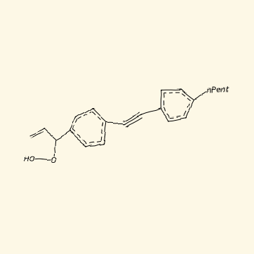 C=CC(OO)c1ccc(C#Cc2ccc(CCCCC)cc2)cc1